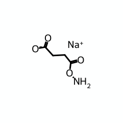 NOC(=O)CCC(=O)[O-].[Na+]